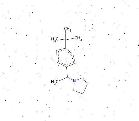 CC(c1ccc(C(C)(C)C)cc1)N1CCCC1